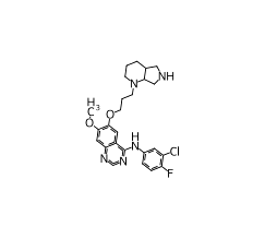 COc1cc2ncnc(Nc3ccc(F)c(Cl)c3)c2cc1OCCCN1CCCC2CNCC21